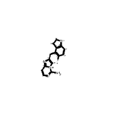 Nc1nccc2nc(Cc3c(F)ccc4c3CCO4)cn12